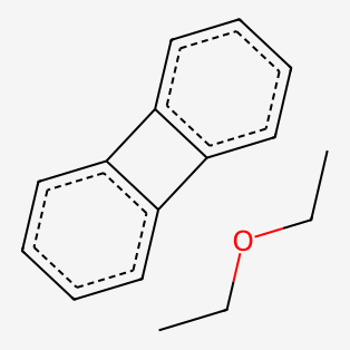 CCOCC.c1ccc2c(c1)-c1ccccc1-2